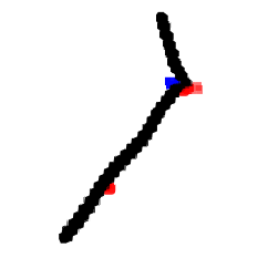 CCCCCCCCCCCCCCCC[C@H](CO)NC(=O)CCCCCCCCCCCCCCCCCCCCCCCCCCCCCC(=O)CCCCCCCCCCCCCCC